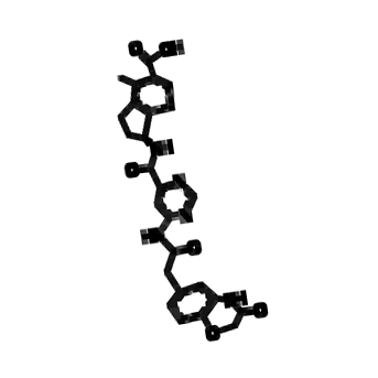 Cc1c(C(=O)O)ccc2c1CC[C@@H]2NC(=O)c1cc(NC(=O)Cc2ccc3c(c2)NC(=O)CO3)ncn1